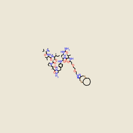 CC[C@H](C)[C@@H]([C@@H](CC(=O)N1CCC[C@H]1[C@H](OC)[C@@H](C)C(=O)N[C@H](CN)Cc1ccc(NC(=O)[C@H](CCCNC(N)=O)NC(=O)[C@@H](NC(=O)CCOCCOCCn2nc3c(n2)CSC2CCCCCCCC(CC2)SC3)C(C)C)cc1)OC)N(C)C(=O)[C@@H](NC(=O)[C@H](C(C)C)N(C)C)C(C)C